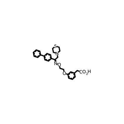 O=C(O)Cc1cccc(OCCO/N=C(\CN2CCSCC2)c2ccc(-c3ccccc3)cc2)c1